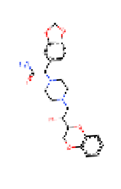 NC(=O)C(c1ccc2c(c1)OCO2)N1CCN(CC(O)C2COc3ccccc3O2)CC1